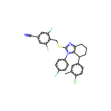 Cc1cc(C2CCCc3nc(SCc4c(F)cc(C#N)cc4F)n(-c4ccc(F)cc4)c32)ccc1Cl